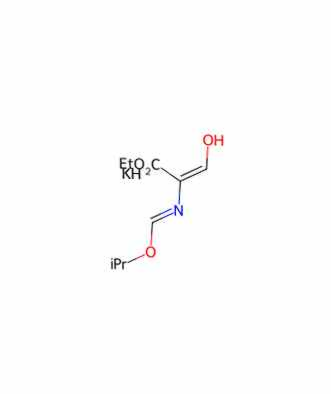 CCOC(=O)C(=C\O)/N=C/OC(C)C.[KH]